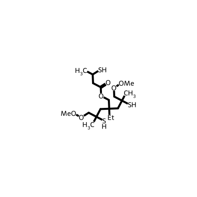 CCC(COC(=O)CC(C)S)(CC(C)(S)COOC)CC(C)(S)COOC